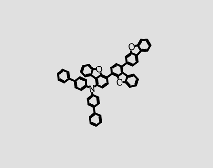 c1ccc(-c2ccc(N(c3ccc(-c4ccccc4)cc3)c3ccc(-c4ccc(-c5ccc6c(c5)oc5ccccc56)c5c4oc4ccccc45)c4oc5ccccc5c34)cc2)cc1